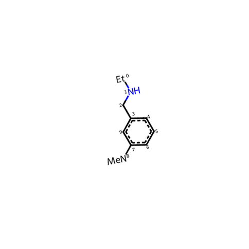 CCNCc1cccc(NC)c1